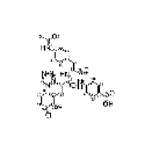 CC(=O)Nc1ccc(CC(NC(=O)C=Cc2c(-n3cnnn3)ccc(Cl)c2F)C(=O)Nc2ccc(C(=O)O)cc2)cc1